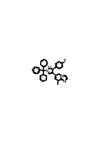 Cc1cc(-c2cn(C(c3ccccc3)(c3ccccc3)C3C=CC=CC3)nc2-c2ccc(F)cc2)cn2ccnc12